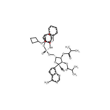 CC(C)C(=O)O[C@H]1[C@@H](OC(=O)C(C)C)[C@](C#N)(c2ccc3c(N)ncnn23)O[C@@H]1CO[P@](=O)(N[C@@H](Cc1ccccc1)C(=O)OC1CCC1)Oc1ccccc1